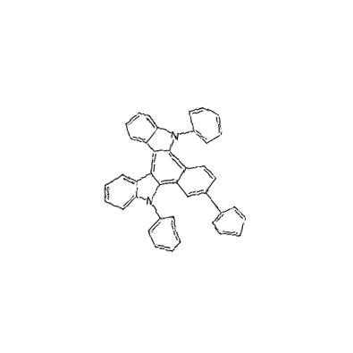 c1ccc(-c2ccc3c(c2)c2c(c4ccccc4n2-c2ccccc2)c2c4ccccc4n(-c4ccccc4)c32)cc1